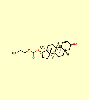 CCCOC(=O)O[C@H]1CC[C@H]2[C@@H]3CC[C@H]4CC(=O)C=C[C@]4(C)[C@H]3CC[C@]12C